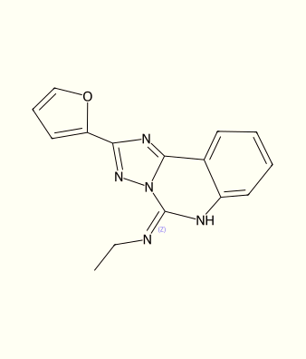 CC/N=c1/[nH]c2ccccc2c2nc(-c3ccco3)nn12